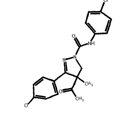 CC(=O)C1(C)CN(C(=O)Nc2ccc(Cl)cc2)N=C1c1ccc(Cl)cc1